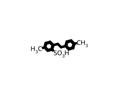 Cc1ccc(CCc2ccc(C)cc2S(=O)(=O)O)cc1